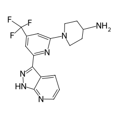 NC1CCN(c2cc(C(F)(F)F)cc(-c3n[nH]c4ncccc34)n2)CC1